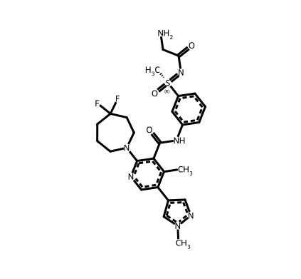 Cc1c(-c2cnn(C)c2)cnc(N2CCCC(F)(F)CC2)c1C(=O)Nc1cccc([S@@](C)(=O)=NC(=O)CN)c1